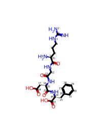 N=C(N)NCCC[C@H](N)C(=O)NCC(=O)N[C@@H](CC(=O)O)C(=O)N[C@H](Cc1ccccc1)C(=O)O